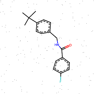 CC(C)(C)c1ccc(CNC(=O)c2ccc(F)cc2)cc1